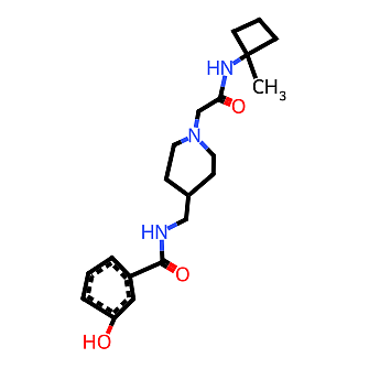 CC1(NC(=O)CN2CCC(CNC(=O)c3cccc(O)c3)CC2)CCC1